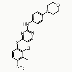 Cc1c(N)ccc(Sc2ccnc(Nc3ccc(N4CCOCC4)cc3)n2)c1Cl